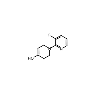 OC1=CCN(c2ncccc2F)CC1